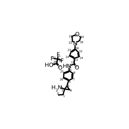 CCC1(N)CC1c1ccc(NC(=O)c2ccc(N3CCOCC3)cc2)cc1.O=C(O)C(F)(F)F